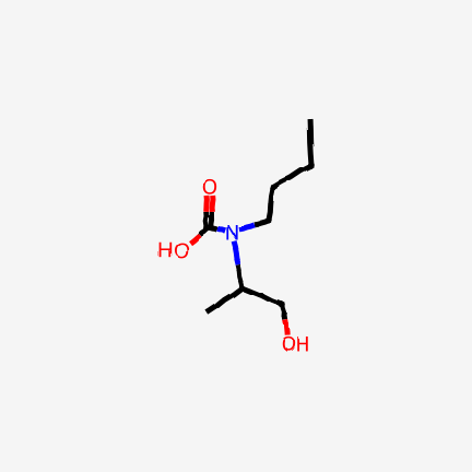 CCCCN(C(=O)O)C(C)CO